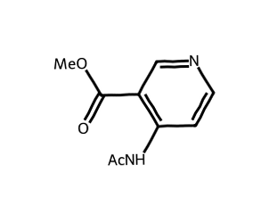 COC(=O)c1cnccc1NC(C)=O